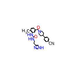 Cc1ccc(C(=O)N2CCC(c3ccc(C#N)cc3)CC2)cc1NC(=O)NCCc1c[nH]cn1